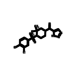 CC1(C)CN(C(=O)c2cnn[nH]2)CCN1S(=O)(=O)c1ccc(Cl)c(Cl)c1